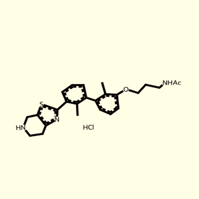 CC(=O)NCCCOc1cccc(-c2cccc(-c3nc4c(s3)CNCC4)c2C)c1C.Cl